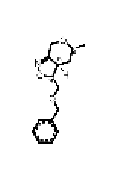 C[C@H]1C[C@@H]2C(=NO[C@@H]2COCc2ccccc2)CO1